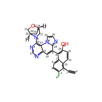 C#Cc1c(F)ccc2c(-c3cc4ncnc(N5C[C@@H]6C[C@H]5CO6)c4n4ccnc34)c(O)ccc12